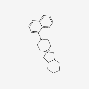 c1ccc2c(N3CC[N+]4(CC3)CC3CCCCC3C4)cccc2c1